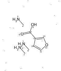 CN.CN.CN.O=C(O)c1ccoc1